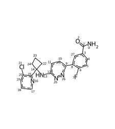 NC(=O)c1ccc(F)c(-c2ccc(NC3(c4ncccc4Cl)CCC3)nn2)c1